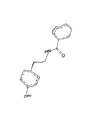 COc1ccc(CCNC(=O)c2ccccc2)cc1